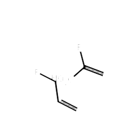 C=C(F)C(=O)O.C=CCF